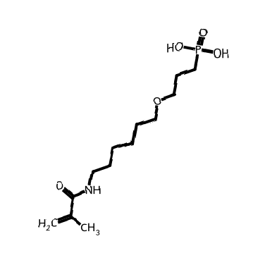 C=C(C)C(=O)NCCCCCCOCCCP(=O)(O)O